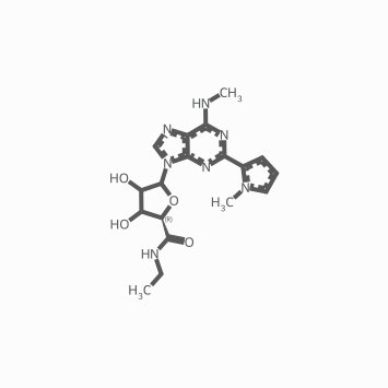 CCNC(=O)[C@@H]1OC(n2cnc3c(NC)nc(-c4cccn4C)nc32)C(O)C1O